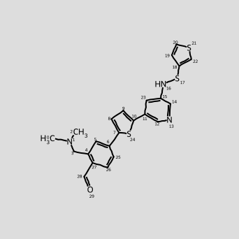 CN(C)Cc1cc(-c2ccc(-c3cncc(NSc4ccsc4)c3)s2)ccc1C=O